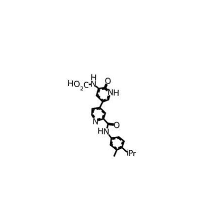 Cc1cc(NC(=O)c2cc(-c3c[nH]c(=O)c(NC(=O)O)c3)ccn2)ccc1C(C)C